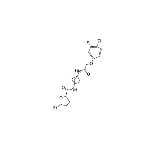 CCC1CCC(C(=O)NC23CC(NC(=O)COc4ccc(Cl)c(F)c4)(C2)C3)O1